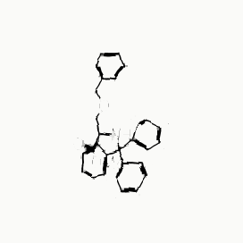 COC(=O)C(COCc1ccccc1)NC(c1ccccc1)(c1ccccc1)c1ccccc1